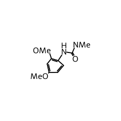 CNC(=O)Nc1ccc(OC)cc1OC